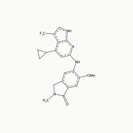 COc1cc2c(cc1Nc1cc(C3CC3)c3c(C(F)(F)F)c[nH]c3n1)CN(C)C2=O